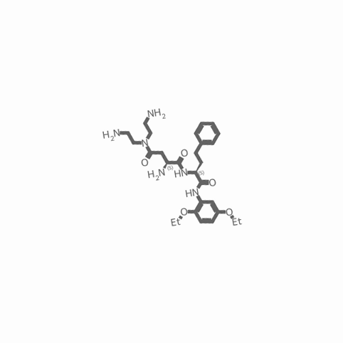 CCOc1ccc(OCC)c(NC(=O)[C@H](CCc2ccccc2)NC(=O)[C@@H](N)CC(=O)N(CCN)CCN)c1